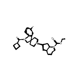 CCOC(=O)N1CCCC2CC(N3CCC4(CC3)CN(C(=O)C3CCC3)c3ccc(F)cc34)CC21